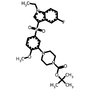 CCn1cc(S(=O)(=O)c2ccc(OC)c(N3CCN(C(=O)OC(C)(C)C)CC3)c2)c2cc(F)ccc21